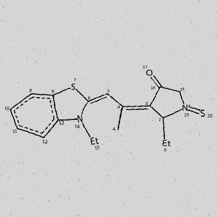 CCC1C(=C(C)C=C2Sc3ccccc3N2CC)C(=O)C[N+]1=S